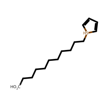 O=C(O)CCCCCCCCCC[SH]1C=CC=C1